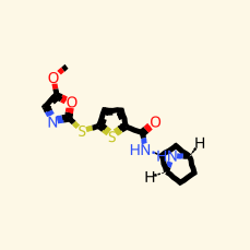 COc1cnc(Sc2ccc(C(=O)N[C@@H]3C[C@H]4CC[C@@H]3N4)s2)o1